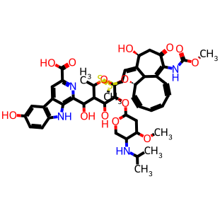 COC(=O)NC1=C2C#C/C=C\C#C[C@H](OC3OC(C)C(C(O)c4nc(C(=O)O)cc5c4[nH]c4ccc(O)cc45)C(O)C3OC3CC(OC)C(NC(C)C)CO3)C2/C(=C\CS(C)=S)[C@@H](O)CC1=O